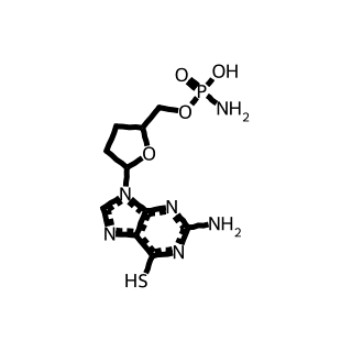 Nc1nc(S)c2ncn(C3CCC(COP(N)(=O)O)O3)c2n1